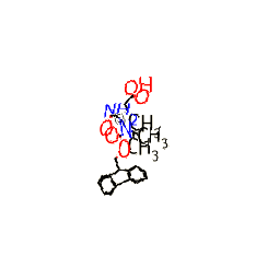 CC(C)(C)N(C(=O)OCC1c2ccccc2-c2ccccc21)[C@@H](CCC(=O)O)C(N)=O